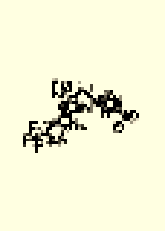 CCS(=O)(=O)c1ccc(-n2cnc([N+](=O)[O-])n2)nc1-c1nc2cc(C(F)(F)F)ncc2n1C